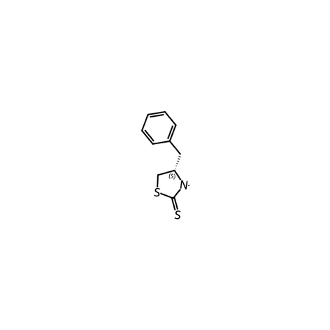 S=C1[N][C@@H](Cc2ccccc2)CS1